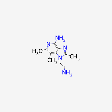 Cc1nc(N)c2nc(C)n(CCN)c2c1C